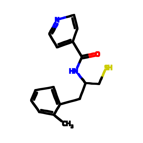 Cc1ccccc1CC(CS)NC(=O)c1ccncc1